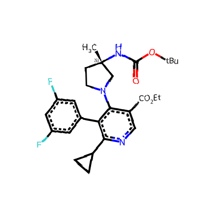 CCOC(=O)c1cnc(C2CC2)c(-c2cc(F)cc(F)c2)c1N1CC[C@](C)(NC(=O)OC(C)(C)C)C1